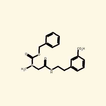 CN(CC(=O)NCCc1cccc(C(=O)O)c1)C(=O)OCc1ccccc1